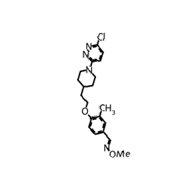 CON=Cc1ccc(OCCC2CCN(c3ccc(Cl)nn3)CC2)c(C)c1